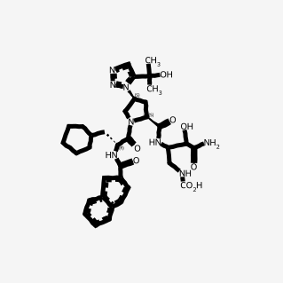 CC(C)(O)c1cnnn1[C@H]1C[C@@H](C(=O)NC(CNC(=O)O)C(O)C(N)=O)N(C(=O)[C@@H](CC2CCCCC2)NC(=O)c2ccc3ccccc3c2)C1